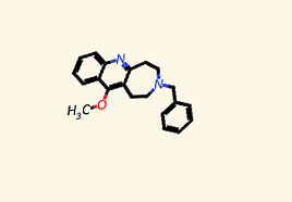 COc1c2c(nc3ccccc13)CCN(Cc1ccccc1)CC2